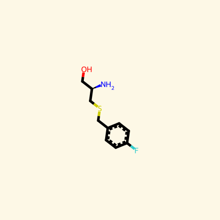 N[C@H](CO)CSCc1ccc(F)cc1